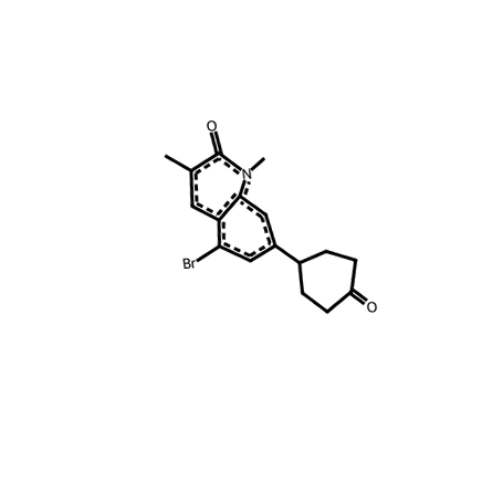 Cc1cc2c(Br)cc(C3CCC(=O)CC3)cc2n(C)c1=O